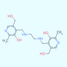 Cc1ncc(CO)c(CNCCNCc2c(CO)cnc(C)c2O)c1O